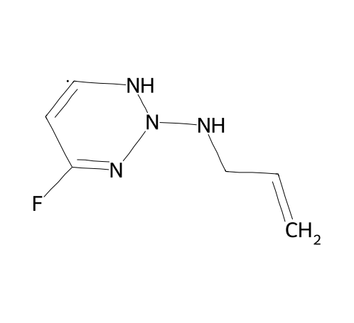 C=CCNN1N=C(F)C=[C]N1